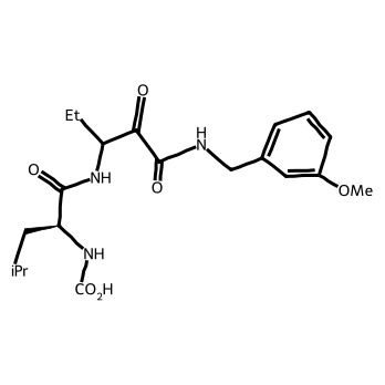 CCC(NC(=O)[C@H](CC(C)C)NC(=O)O)C(=O)C(=O)NCc1cccc(OC)c1